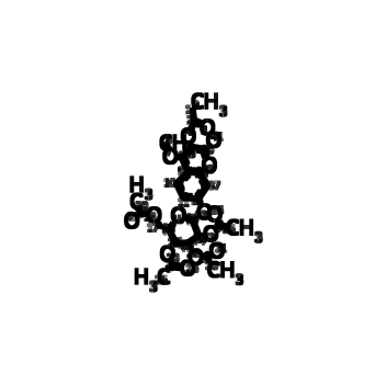 CCC(=O)Oc1c(OC)c2ccc(O[C@H]3O[C@H](COC(C)=O)[C@@H](OC(C)=O)[C@H](OC(C)=O)[C@@H]3OC(C)=O)cc2oc1=O